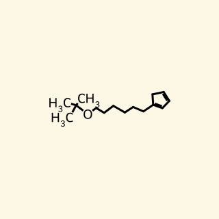 CC(C)(C)OCCCCCCC1=CC=CC1